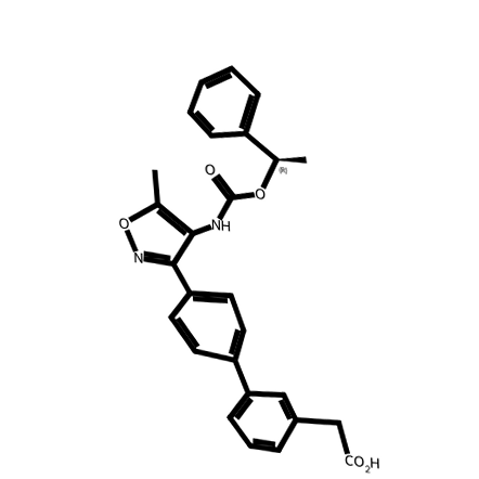 Cc1onc(-c2ccc(-c3cccc(CC(=O)O)c3)cc2)c1NC(=O)O[C@H](C)c1ccccc1